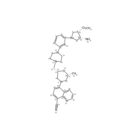 CO[C@H]1CN(c2cccc(N3CCN(C[C@H]4CN(c5ccc(C#N)c6ncccc56)C[C@@H](C)O4)CC3)n2)C[C@H]1N